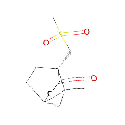 CC12C[C@@]13CC[C@]2(CS(C)(=O)=O)C(=O)C3